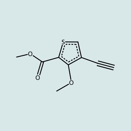 C#Cc1csc(C(=O)OC)c1OC